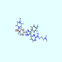 CN(C)CCCNc1nccc(-c2[nH]c(C3OCC(C)(C(=O)N4CCN(C)CC4)CO3)nc2-c2ccc(F)cc2)n1